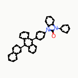 O=c1n(-c2ccccc2)c2ccccc2n1-c1ccc(-c2c3ccccc3c(-c3ccc4ccccc4c3)c3ccccc23)cc1